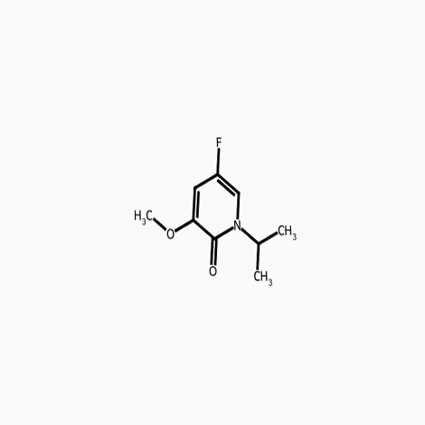 COc1cc(F)cn(C(C)C)c1=O